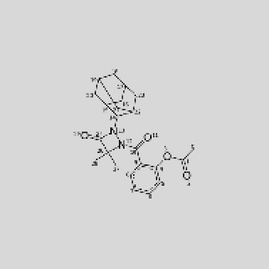 CC(=O)Oc1ccccc1C(=O)N1N(C2C3CC4CC(C3)CC2C4)C(=O)C1(C)C